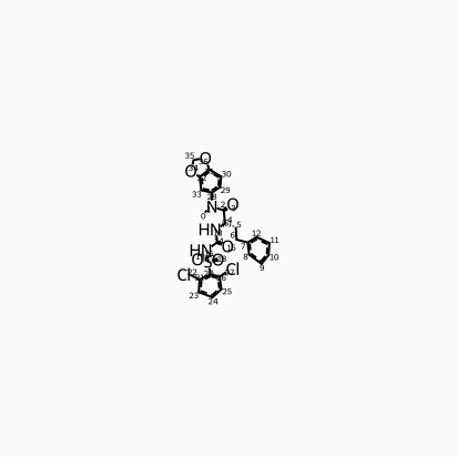 CN(C(=O)[C@H](CCc1ccccc1)NC(=O)NS(=O)(=O)c1c(Cl)cccc1Cl)c1ccc2c(c1)OCO2